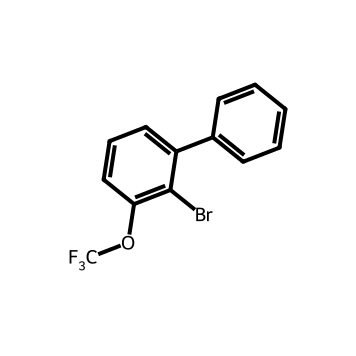 FC(F)(F)Oc1cccc(-c2ccccc2)c1Br